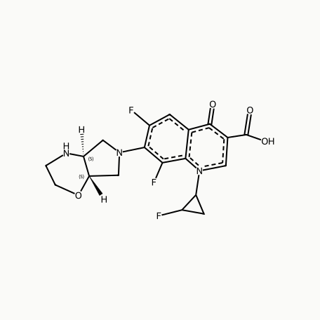 O=C(O)c1cn(C2CC2F)c2c(F)c(N3C[C@@H]4NCCO[C@H]4C3)c(F)cc2c1=O